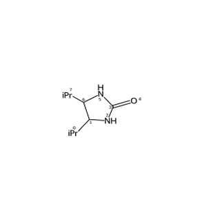 CC(C)C1NC(=O)NC1C(C)C